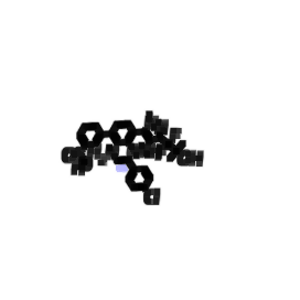 Cn1nc(C(F)(F)C(C)(C)O)c2c1-c1ccc(-c3cccc([SH](=O)=O)c3)cc1N(/C(=C\N)c1ccc(Cl)cc1)N2